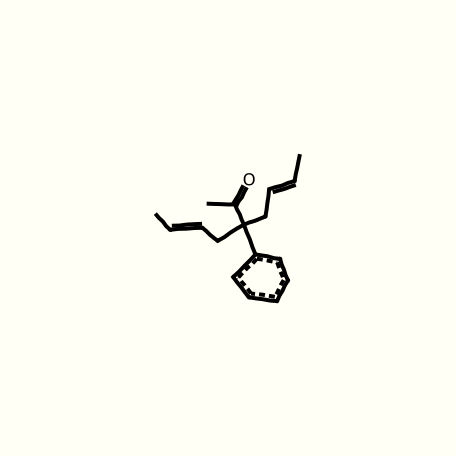 C/C=C/CC(C/C=C/C)(C(C)=O)c1ccccc1